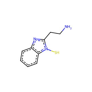 NCCc1nc2ccccc2n1S